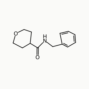 O=C(NCc1ccccc1)C1CCOCC1